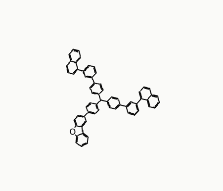 c1cc(-c2ccc(C(c3ccc(-c4cccc(-c5cccc6ccccc56)c4)cc3)c3ccc(-c4ccc5oc6ccccc6c5c4)cc3)cc2)cc(-c2cccc3ccccc23)c1